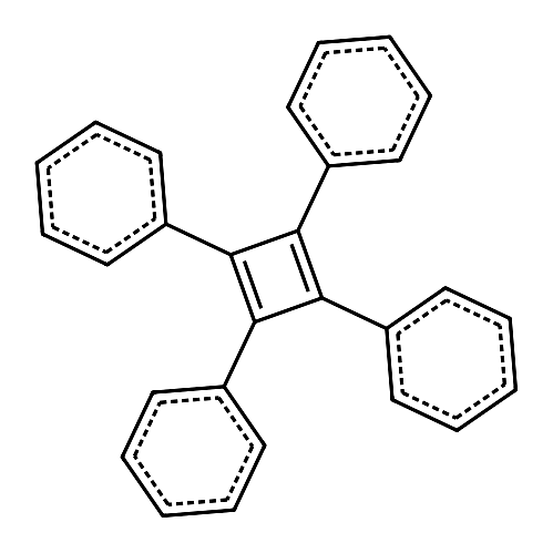 c1ccc(C2=C(c3ccccc3)C(c3ccccc3)=C2c2ccccc2)cc1